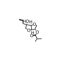 C=CC[C@]1(O)CO[C@@H]2[C@H](OC(=O)C(C)C)CO[C@@H]21